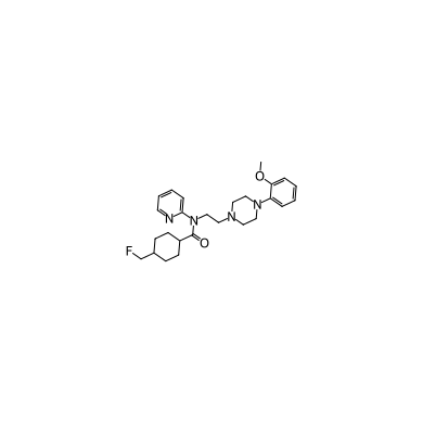 COc1ccccc1N1CCN(CCN(C(=O)C2CCC(CF)CC2)c2ccccn2)CC1